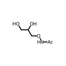 CC(=O)NOCC(O)CO